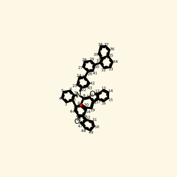 c1c(-c2ccccc2N(C2=c3oc4ccccc4c3=CCC2)c2ccc(-c3cccc(-c4cccc5ccccc45)c3)cc2)cc2oc3ccccc3c2c#1